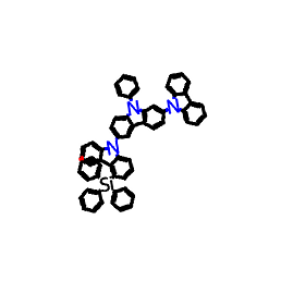 c1ccc(-n2c3ccc(-n4c5ccccc5c5c([Si](c6ccccc6)(c6ccccc6)c6ccccc6)cccc54)cc3c3ccc(-n4c5ccccc5c5ccccc54)cc32)cc1